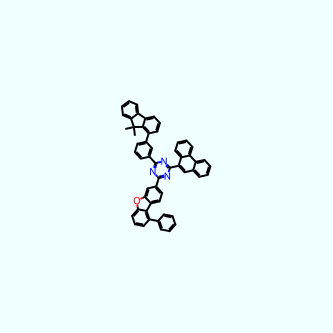 CC1(C)c2ccccc2-c2cccc(-c3cccc(-c4nc(-c5ccc6c(c5)oc5cccc(-c7ccccc7)c56)nc(-c5cc6ccccc6c6ccccc56)n4)c3)c21